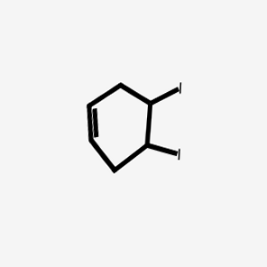 IC1CC=CCC1I